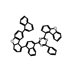 C1=CC2Oc3ccc(-c4cccc5ccccc45)cc3C2C(c2ccc(-c3nc(-c4ccccc4)nc(-c4cccc5oc6ccccc6c45)n3)c3ccccc23)=C1